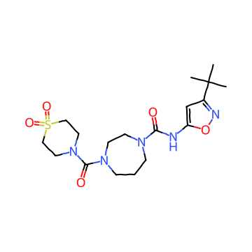 CC(C)(C)c1cc(NC(=O)N2CCCN(C(=O)N3CCS(=O)(=O)CC3)CC2)on1